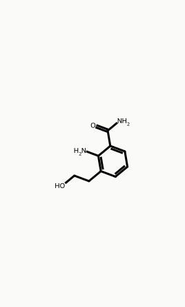 NC(=O)c1cccc(CCO)c1N